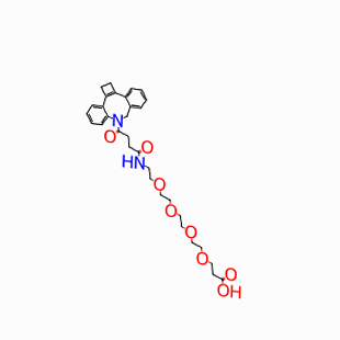 O=C(O)CCOCCOCCOCCOCCNC(=O)CCC(=O)N1Cc2ccccc2C2=C(CC2)c2ccccc21